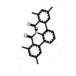 Cc1cc(C)c2c(c1)-c1cccc3c1P(=O)(C2=O)C(=O)c1c(C)cc(C)cc1-3